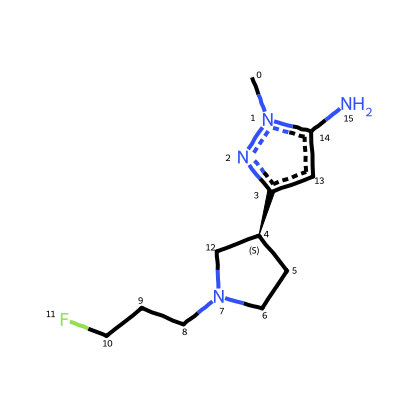 Cn1nc([C@H]2CCN(CCCF)C2)cc1N